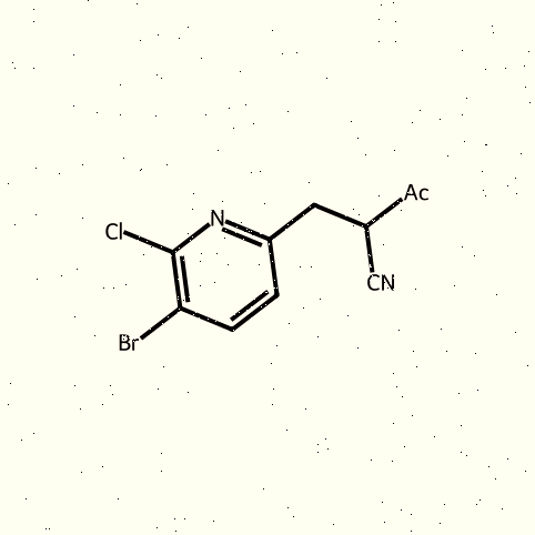 CC(=O)C(C#N)Cc1ccc(Br)c(Cl)n1